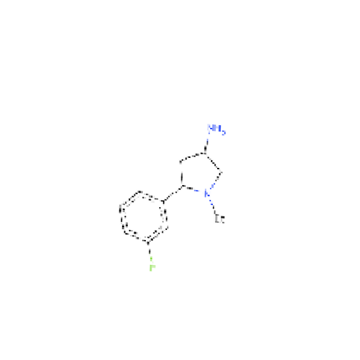 CCN1CC(N)CC1c1cccc(F)c1